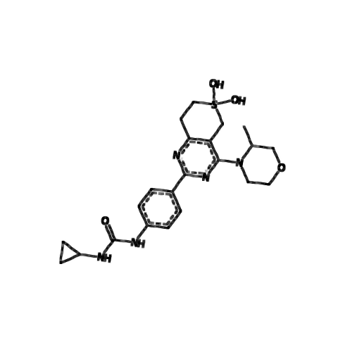 CC1COCCN1c1nc(-c2ccc(NC(=O)NC3CC3)cc2)nc2c1CS(O)(O)CC2